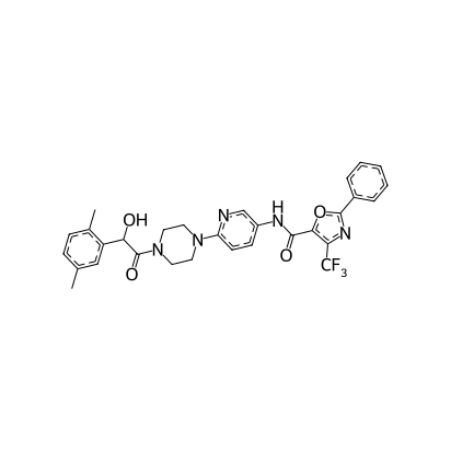 Cc1ccc(C)c(C(O)C(=O)N2CCN(c3ccc(NC(=O)c4oc(-c5ccccc5)nc4C(F)(F)F)cn3)CC2)c1